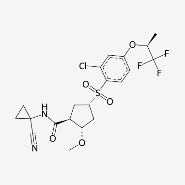 CO[C@H]1C[C@@H](S(=O)(=O)c2ccc(O[C@@H](C)C(F)(F)F)cc2Cl)C[C@@H]1C(=O)NC1(C#N)CC1